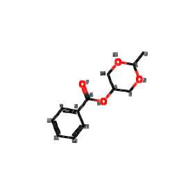 CC1OCC(OC(=O)c2ccccc2)CO1